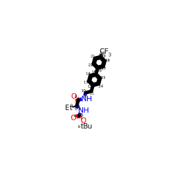 CC[C@H](NC(=O)OC(C)(C)C)C(=O)NCCc1ccc(-c2ccc(C(F)(F)F)cc2)cc1